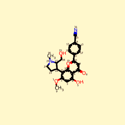 COc1cc(O)c2c(=O)cc(-c3ccc(C#N)cc3)oc2c1C1CCN(C)C1CO